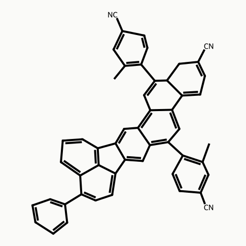 Cc1cc(C#N)ccc1C1=Cc2c(cc(-c3ccc(C#N)cc3C)c3cc4c(cc23)-c2cccc3c(-c5ccccc5)ccc-4c23)C2=CC=C(C#N)CC12